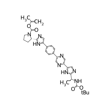 C=C(C)OC(=O)N1CCC[C@H]1c1ncc(-c2ccc(-c3cnc(-c4cnc([C@H](C)NC(=O)OC(C)(C)C)[nH]4)cn3)cc2)[nH]1